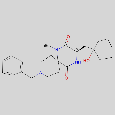 CCCCN1C(=O)[C@@H](CC2(O)CCCCC2)NC(=O)C12CCN(Cc1ccccc1)CC2